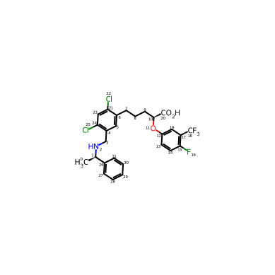 C[C@@H](NCc1cc(CCC[C@H](Oc2ccc(F)c(C(F)(F)F)c2)C(=O)O)c(Cl)cc1Cl)c1ccccc1